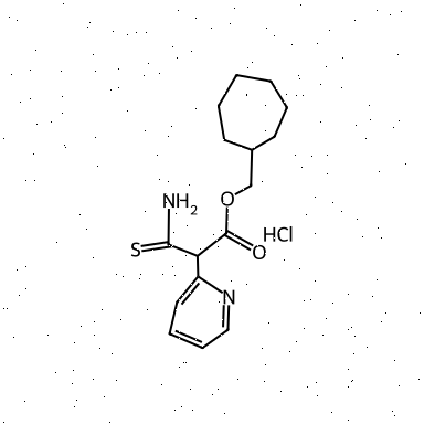 Cl.NC(=S)C(C(=O)OCC1CCCCCC1)c1ccccn1